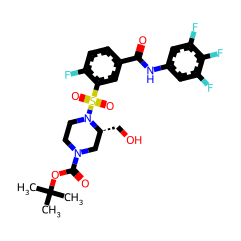 CC(C)(C)OC(=O)N1CCN(S(=O)(=O)c2cc(C(=O)Nc3cc(F)c(F)c(F)c3)ccc2F)[C@H](CO)C1